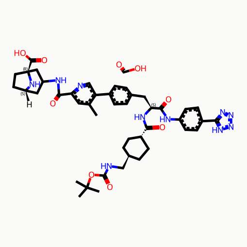 Cc1cc(C(=O)NC2C[C@@H]3CC[C@](C(=O)O)(C2)N3)ncc1-c1ccc(C[C@H](NC(=O)[C@H]2CC[C@H](CNC(=O)OC(C)(C)C)CC2)C(=O)Nc2ccc(-c3nnn[nH]3)cc2)cc1.O=CO